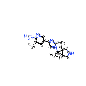 CC(C)c1nc(-c2cnc(N)c(C(F)(F)F)c2)cn1C1(C)[C@@H]2CNC[C@@H]21